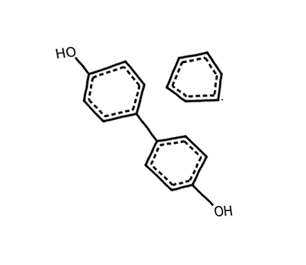 Oc1ccc(-c2ccc(O)cc2)cc1.[c]1ccccc1